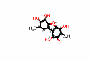 Cc1c(O)c(O)c2c3c(oc2c1O)C(O)=C(O)C(C)C3